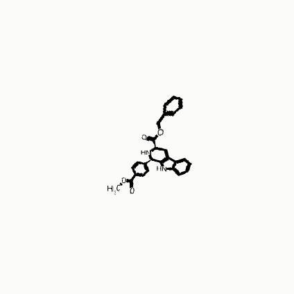 COC(=O)c1ccc([C@H]2N[C@@H](C(=O)OCc3ccccc3)Cc3c2[nH]c2ccccc32)cc1